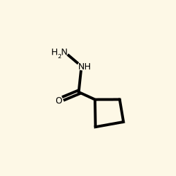 NNC(=O)[C]1CCC1